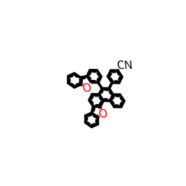 N#Cc1ccc(-c2c(-c3cccc4c3oc3ccccc34)c3ccc4c5ccccc5oc4c3c3ccccc23)cc1